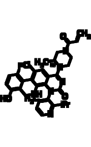 C=CC(=O)N1CCN(c2nc(=O)n(-c3c(C)ccnc3C(C)C)c3c4c(c(Cl)cc23)-c2c(F)ccc(O)c2CN4)[C@@H](C)C1